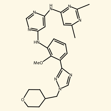 COc1c(Nc2cc(Nc3cc(C)nc(C)n3)ncn2)cccc1-c1ncn(CC2CCOCC2)n1